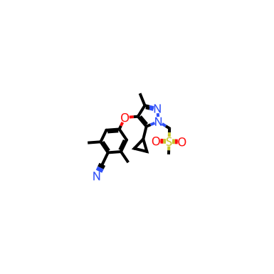 Cc1cc(Oc2c(C)nn(CS(C)(=O)=O)c2C2CC2)cc(C)c1C#N